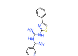 N=C(NC(=N)c1cccnc1)Nc1nc(-c2ccccc2)cs1